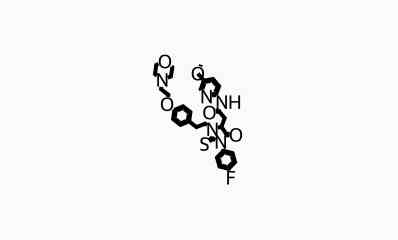 COc1ccc(NC(=O)CC2C(=O)N(c3ccc(F)cc3)C(=S)N2CCc2ccc(OCCN3CCOCC3)cc2)nc1